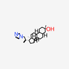 C=C(Cn1ccnc1)[C@H]1CC[C@H]2[C@@H]3CC[C@@H]4C[C@@](C)(O)CC[C@@H]4[C@H]3CC[C@]12C